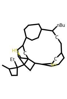 CCCCC1CCC2CCCC(C(S)C2)C2CC3(C4(CC)CCC4C)CCC(CC23CS)C2CCCC1CC2